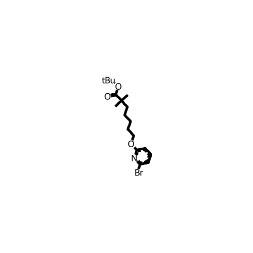 CC(C)(C)OC(=O)C(C)(C)CCCCCOc1cccc(Br)n1